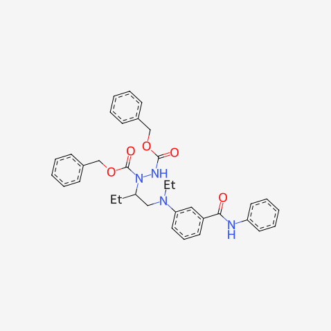 CCC(CN(CC)c1cccc(C(=O)Nc2ccccc2)c1)N(NC(=O)OCc1ccccc1)C(=O)OCc1ccccc1